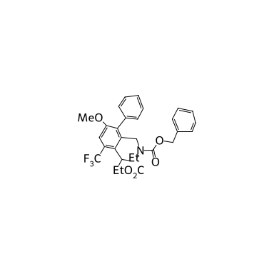 CCOC(=O)C(C)c1c(C(F)(F)F)cc(OC)c(-c2ccccc2)c1CN(CC)C(=O)OCc1ccccc1